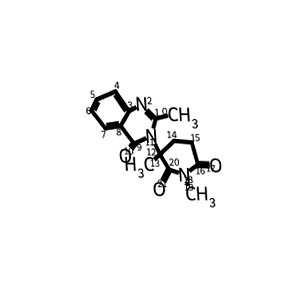 Cc1nc2ccccc2c(=O)n1C1(C)CCC(=O)N(C)C1=O